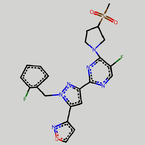 CS(=O)(=O)C1CCN(c2nc(-c3cc(-c4ccon4)n(Cc4ccccc4F)n3)ncc2F)C1